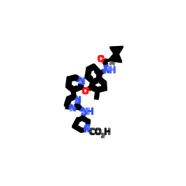 Cc1ccc2c(NC(=O)[C@@H]3CC34CC4)cccc2c1Oc1ncccc1-c1ccnc(NC2CCCN(C(=O)O)C2)n1